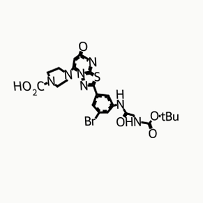 CC(C)(C)OC(=O)NCC(=O)Nc1cc(Br)cc(-c2nn3c(N4CCN(C(=O)O)CC4)cc(=O)nc3s2)c1